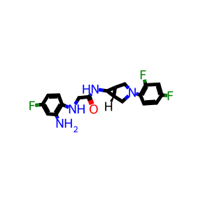 Nc1cc(F)ccc1NCC(=O)NC1C2CN(c3ccc(F)cc3F)C[C@@H]21